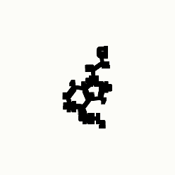 Nc1nccc2c1cnn2CCCl